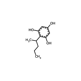 CCCC(C)c1c(O)cc(O)cc1O